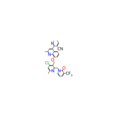 C/C=C(C#N)\C(=N/C)c1cc(C)nc2c(OCc3c(Cl)cc(C)nc3Cn3cccc(C(F)(F)F)c3=O)cccc12